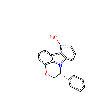 Oc1cccc2c1c1cccc3c1n2[C@H](c1ccccc1)CO3